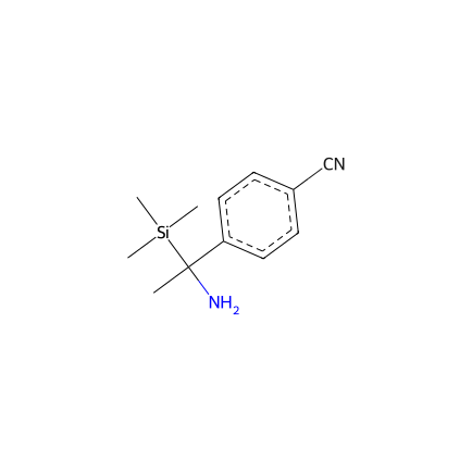 CC(N)(c1ccc(C#N)cc1)[Si](C)(C)C